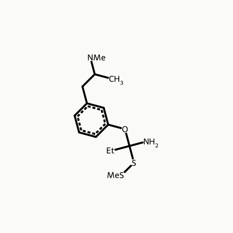 CCC(N)(Oc1cccc(CC(C)NC)c1)SSC